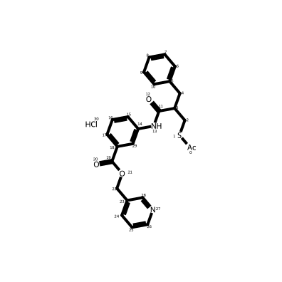 CC(=O)SCC(Cc1ccccc1)C(=O)Nc1cccc(C(=O)OCc2cccnc2)c1.Cl